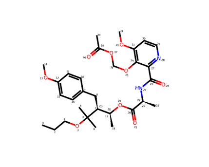 CCCOC(C)(C)[C@@H](Cc1ccc(OC)cc1)[C@H](C)OC(=O)[C@H](C)NC(=O)c1nccc(OC)c1OCOC(C)=O